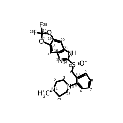 CN1CCN(c2ccccc2C[S+]([O-])c2nc3cc4c(cc3[nH]2)OC(F)(F)O4)CC1